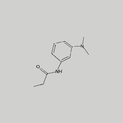 CCC(=O)Nc1cccc(N(C)C)c1